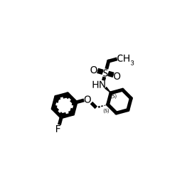 CCS(=O)(=O)N[C@H]1CCCC[C@@H]1COc1cccc(F)c1